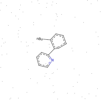 CCCCc1ccccc1-c1ccccn1